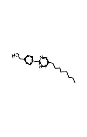 CCCCCCCCc1cnc(-c2ccc(CO)cc2)nc1